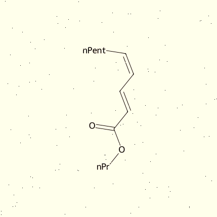 CCCCC/C=C\C=CC(=O)OCCC